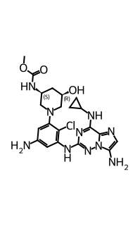 COC(=O)N[C@H]1C[C@@H](O)CN(c2cc(N)cc(Nc3nc(NC4CC4)c4ncc(N)n4n3)c2Cl)C1